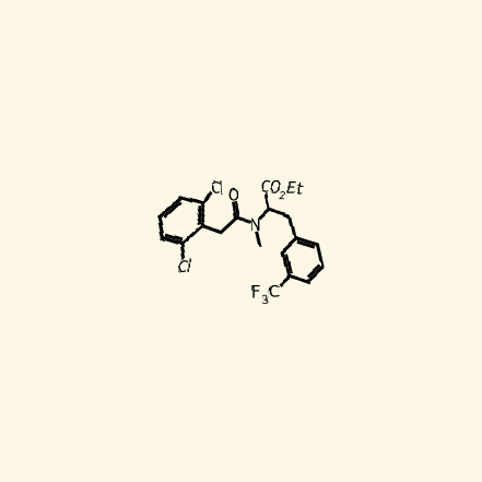 CCOC(=O)C(Cc1cccc(C(F)(F)F)c1)N(C)C(=O)Cc1c(Cl)cccc1Cl